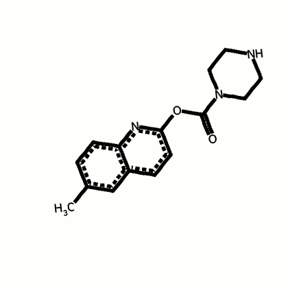 Cc1ccc2nc(OC(=O)N3CCNCC3)ccc2c1